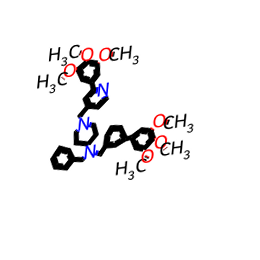 COc1cc(-c2cccc(CN(Cc3ccccc3)C3CCN(Cc4ccnc(-c5cc(OC)c(OC)c(OC)c5)c4)CC3)c2)cc(OC)c1OC